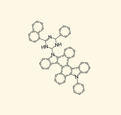 c1ccc(C2N=C(c3cccc4ccccc34)NC(n3c4ccccc4c4c5c6ccccc6c6c(c7ccccc7n6-c6ccccc6)c5c5ccccc5c43)N2)cc1